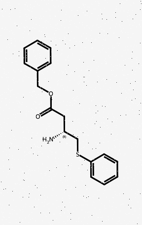 N[C@@H](CSc1ccccc1)CC(=O)OCc1ccccc1